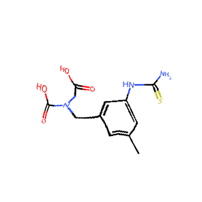 Cc1cc(CN(C(=O)O)C(=O)O)cc(NC(N)=S)c1